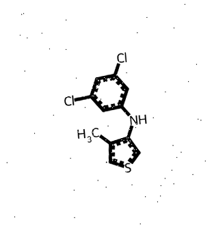 Cc1[c]scc1Nc1cc(Cl)cc(Cl)c1